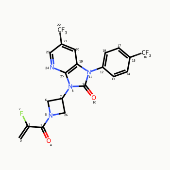 C=C(F)C(=O)N1CC(n2c(=O)n(-c3ccc(C(F)(F)F)cc3)c3cc(C(F)(F)F)cnc32)C1